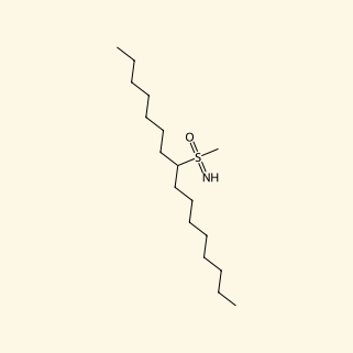 CCCCCCCCC(CCCCCCC)S(C)(=N)=O